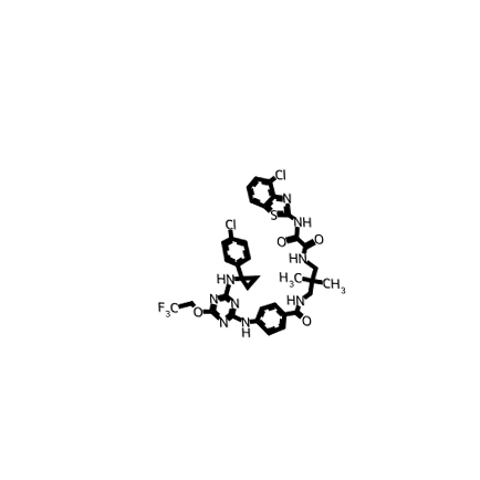 CC(C)(CNC(=O)C(=O)Nc1nc2c(Cl)cccc2s1)CNC(=O)c1ccc(Nc2nc(NC3(c4ccc(Cl)cc4)CC3)nc(OCC(F)(F)F)n2)cc1